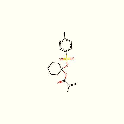 C=C(C)C(=O)OC1(OS(=O)(=O)c2ccc(C)cc2)CCCCC1